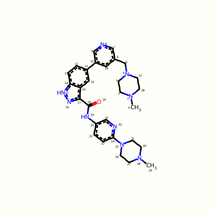 CN1CCN(Cc2cncc(-c3ccc4[nH]nc(C(=O)Nc5ccc(N6CCN(C)CC6)nc5)c4c3)c2)CC1